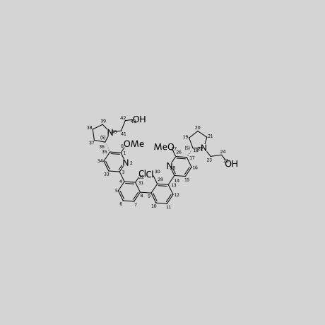 COc1nc(-c2cccc(-c3cccc(-c4ccc([C@@H]5CCCN5CCO)c(OC)n4)c3Cl)c2Cl)ccc1[C@@H]1CCCN1CCO